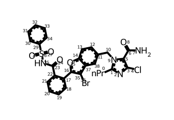 CCCc1nc(Cl)c(C(N)=O)n1Cc1ccc2oc(-c3ccccc3C(=O)NS(=O)(=O)c3ccccc3)c(Br)c2c1